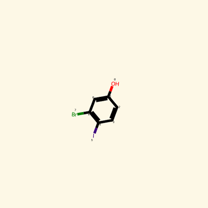 Oc1ccc(I)c(Br)c1